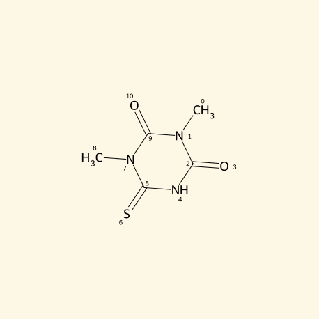 Cn1c(=O)[nH]c(=S)n(C)c1=O